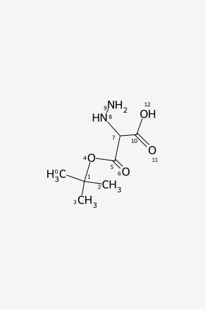 CC(C)(C)OC(=O)C(NN)C(=O)O